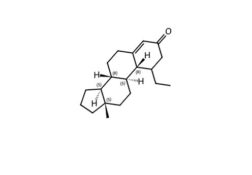 CCC1CC(=O)C=C2CC[C@@H]3[C@H](CC[C@]4(C)CCC[C@@H]34)[C@H]21